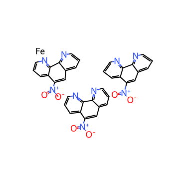 O=[N+]([O-])c1cc2cccnc2c2ncccc12.O=[N+]([O-])c1cc2cccnc2c2ncccc12.O=[N+]([O-])c1cc2cccnc2c2ncccc12.[Fe]